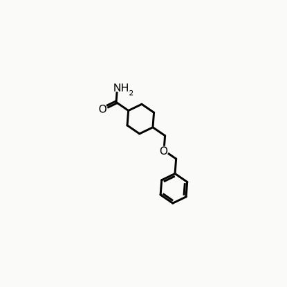 NC(=O)C1CCC(COCc2ccccc2)CC1